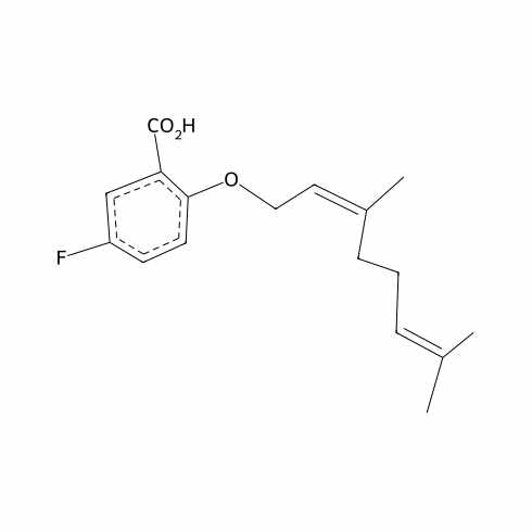 CC(C)=CCCC(C)=CCOc1ccc(F)cc1C(=O)O